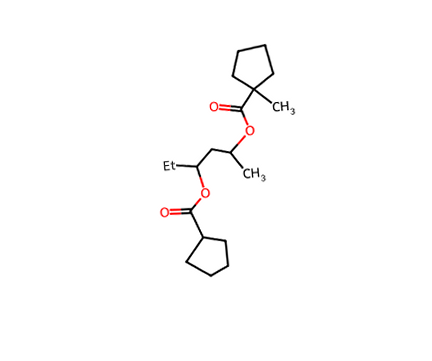 [CH2]CC(CC(C)OC(=O)C1(C)CCCC1)OC(=O)C1CCCC1